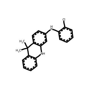 CC1(C)c2ccccc2Nc2cc(Nc3ccccc3Cl)ccc21